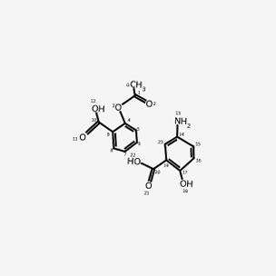 CC(=O)Oc1ccccc1C(=O)O.Nc1ccc(O)c(C(=O)O)c1